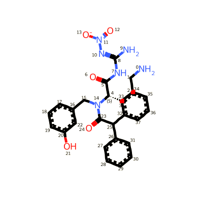 NCCC[C@@H](C(=O)NC(N)=N[N+](=O)[O-])N(Cc1cccc(O)c1)C(=O)C(c1ccccc1)c1ccccc1